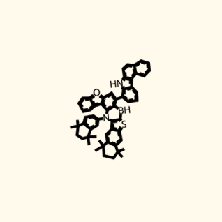 CC1(C)CCC(C)(C)c2cc(N3c4c(sc5cc6c(cc45)C(C)(C)CCC6(C)C)Bc4c(-c5cccc6c5[nH]c5ccc7ccccc7c56)cc5oc6ccccc6c5c43)ccc21